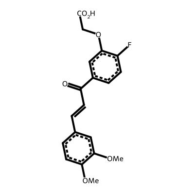 COc1ccc(C=CC(=O)c2ccc(F)c(OCC(=O)O)c2)cc1OC